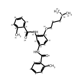 Cc1ccccc1C(=O)Nc1ccc(OCCCN(C)C)c(NC(=O)c2ccccc2C)c1